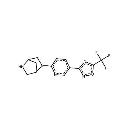 FC(F)(F)c1nc(-c2ccc(N3CC4CC3CN4)nc2)no1